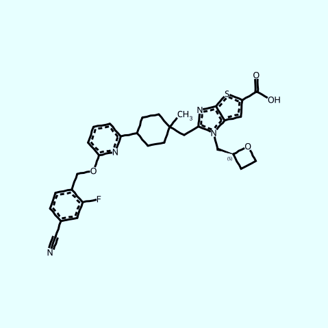 CC1(Cc2nc3sc(C(=O)O)cc3n2C[C@@H]2CCO2)CCC(c2cccc(OCc3ccc(C#N)cc3F)n2)CC1